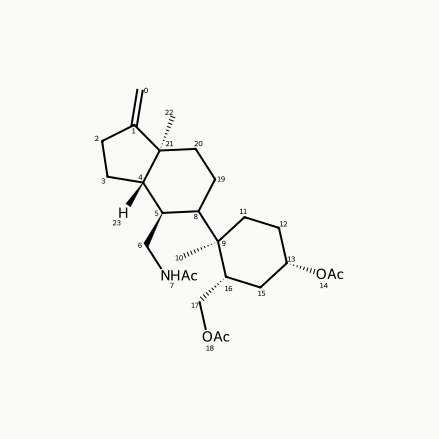 C=C1CC[C@H]2[C@H](CNC(C)=O)C([C@@]3(C)CC[C@H](OC(C)=O)C[C@@H]3COC(C)=O)CC[C@]12C